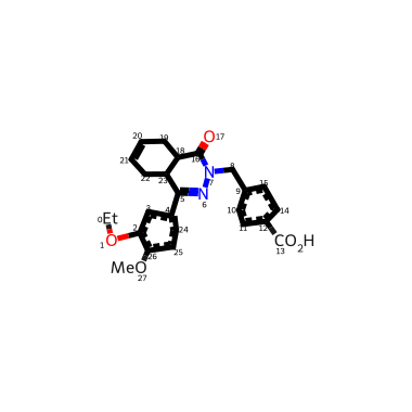 CCOc1cc(C2=NN(Cc3ccc(C(=O)O)cc3)C(=O)C3CC=CCC23)ccc1OC